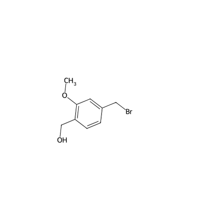 COc1cc(CBr)ccc1CO